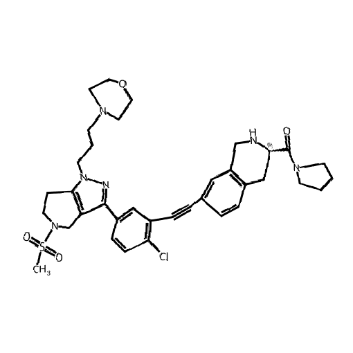 CS(=O)(=O)N1CCc2c(c(-c3ccc(Cl)c(C#Cc4ccc5c(c4)CN[C@@H](C(=O)N4CCCC4)C5)c3)nn2CCCN2CCOCC2)C1